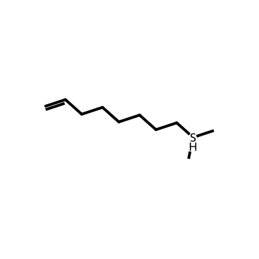 C=CCCCCCC[SH](C)C